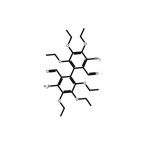 Bc1c(C=O)c(-c2c(C=O)c(B)c(OCC)c(OCC)c2OCC)c(OCC)c(OCC)c1OCC